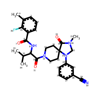 Cc1cccc(C(=O)NC(C(=O)N2CCC3(CC2)C(=O)N(C)CN3c2cccc(C#N)c2)C(C)C)c1F